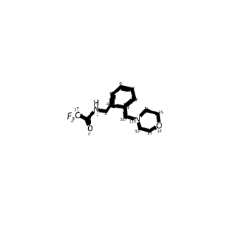 O=C(NCc1ccccc1CN1CCOCC1)C(F)(F)F